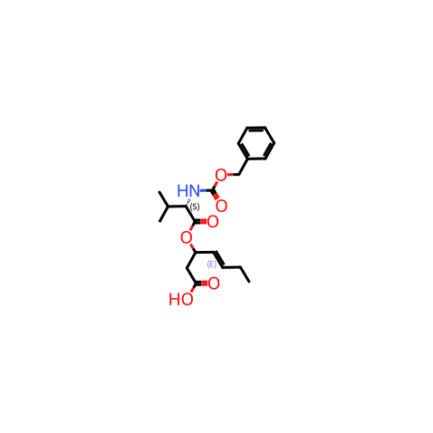 CC/C=C/C(CC(=O)O)OC(=O)[C@@H](NC(=O)OCc1ccccc1)C(C)C